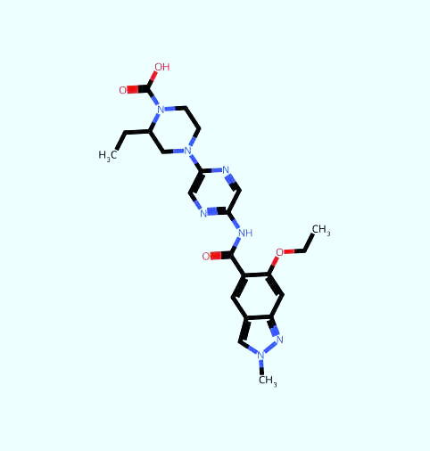 CCOc1cc2nn(C)cc2cc1C(=O)Nc1cnc(N2CCN(C(=O)O)C(CC)C2)cn1